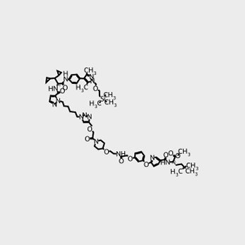 COC(=O)[C@H](CCC(C)(C)C)NC(=O)c1ccc(Oc2cccc(OCC(=O)NCCOC3CCN(C(=O)COCc4cn(CCCCCCn5nccc5C(=O)N[C@H](C(=O)Nc5ccc(-c6c(C)nn(COCC[Si](C)(C)C)c6C)cc5)C(C5CC5)C5CC5)nn4)CC3)c2)nc1